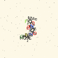 CNc1cc2c(cc1F)C(=O)N(c1ccc(C(=O)N(CC(=O)O)Cc3ccc(Cl)s3)cc1)CO2